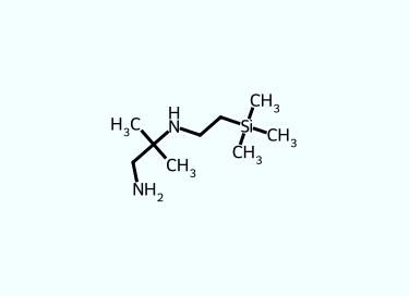 CC(C)(CN)NCC[Si](C)(C)C